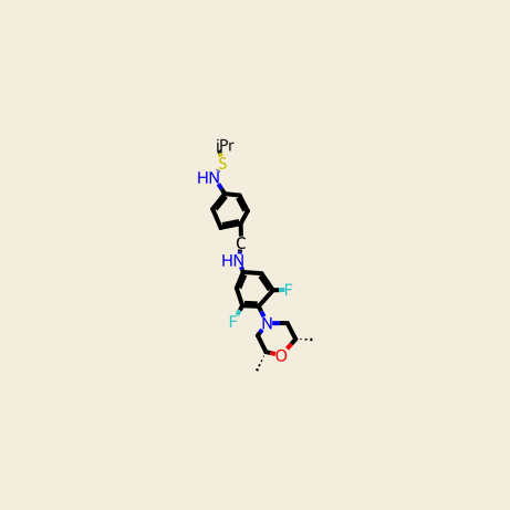 CC(C)SNc1ccc(CNc2cc(F)c(N3C[C@@H](C)O[C@@H](C)C3)c(F)c2)cc1